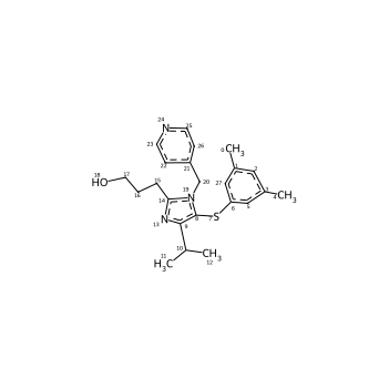 Cc1cc(C)cc(Sc2c(C(C)C)nc(CCCO)n2Cc2ccncc2)c1